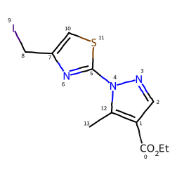 CCOC(=O)c1cnn(-c2nc(CI)cs2)c1C